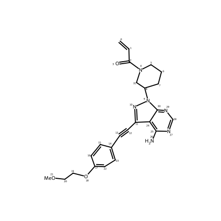 C=CC(=O)N1CCCC(n2nc(C#Cc3ccc(OCCOC)cc3)c3c(N)ncnc32)C1